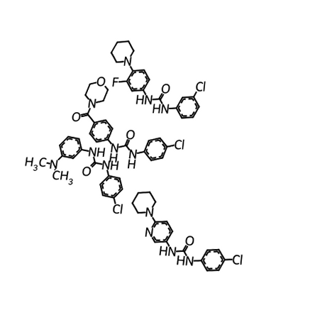 CN(C)c1cccc(NC(=O)Nc2ccc(Cl)cc2)c1.O=C(Nc1ccc(Cl)cc1)Nc1ccc(C(=O)N2CCOCC2)cc1.O=C(Nc1ccc(Cl)cc1)Nc1ccc(N2CCCCC2)nc1.O=C(Nc1cccc(Cl)c1)Nc1ccc(N2CCCCC2)c(F)c1